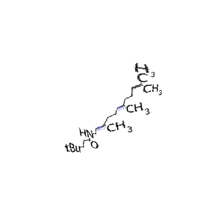 CC(C)=CCC/C(C)=C/CC/C(C)=C/CNC(=O)CCC(C)(C)C